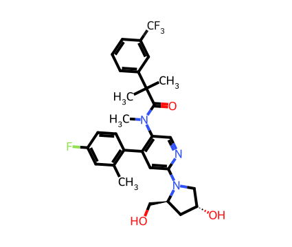 Cc1cc(F)ccc1-c1cc(N2C[C@H](O)C[C@H]2CO)ncc1N(C)C(=O)C(C)(C)c1cccc(C(F)(F)F)c1